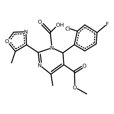 COC(=O)C1=C(C)N=C(c2ncoc2C)N(C(=O)O)C1c1ccc(F)cc1Cl